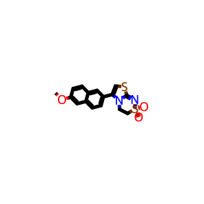 COc1ccc2cc(C3=CSC4=NS(=O)(=O)CCN34)ccc2c1